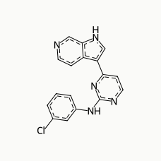 Clc1cccc(Nc2nccc(-c3c[nH]c4cnccc34)n2)c1